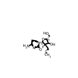 C=C=C[C@@]1(F)C(O)[C@@H](CO)O[C@H]1n1ccc(N)nc1=O